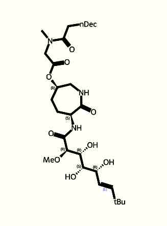 CCCCCCCCCCCC(=O)N(C)CC(=O)O[C@@H]1CC[C@H](NC(=O)[C@H](OC)[C@H](O)[C@@H](O)[C@H](O)/C=C/C(C)(C)C)C(=O)NC1